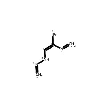 C=NN/C=C(\N=C)C(C)C